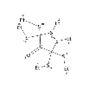 CCSC(SCC)(SCC)C(=O)C(SCC)(SCC)SCC